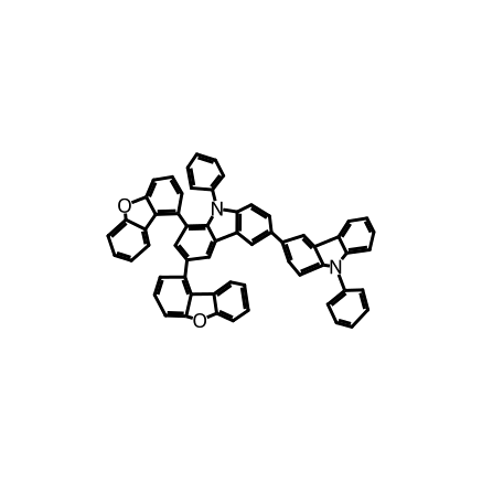 c1ccc(-n2c3ccccc3c3cc(-c4ccc5c(c4)c4cc(-c6cccc7oc8ccccc8c67)cc(-c6cccc7oc8ccccc8c67)c4n5-c4ccccc4)ccc32)cc1